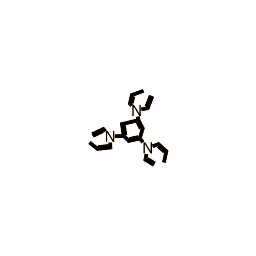 C=CN(/C=C\C)c1cc(N(C=C)/C=C\C)cc(N(C=C)/C=C\C)c1